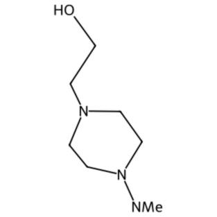 CNN1CCN(CCO)CC1